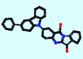 O=C1c2ccccc2-n2c1nc1ccc(-n3c4ccccc4c4cc(-c5ccccc5)ccc43)cc1c2=O